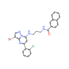 O=C(NCCCNc1cc(-c2ccccc2Cl)nc2c(Br)cnn12)c1ccc2ccccc2c1